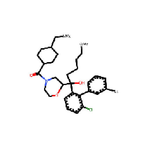 CCc1cccc(-c2c(Cl)cccc2C(O)(CCCCOC)C2CN(C(=O)C3CCC(CNC)CC3)CCO2)c1